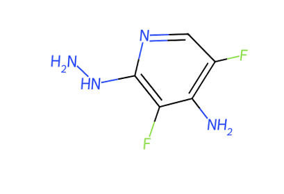 NNc1ncc(F)c(N)c1F